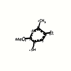 CCc1cc(S)c(OC)nc1C